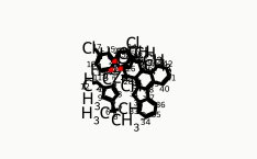 [CH2]=[Zr]([C]1=CC(C(C)(C)C)=CC1CC)([c]1ccc(Cl)cc1)([c]1ccc(Cl)cc1)[C]1(C)C2=C3Cc4ccccc4C3=C3C=CCCC3C2(C)C(C)(C)C(C)(C)C1(C)C